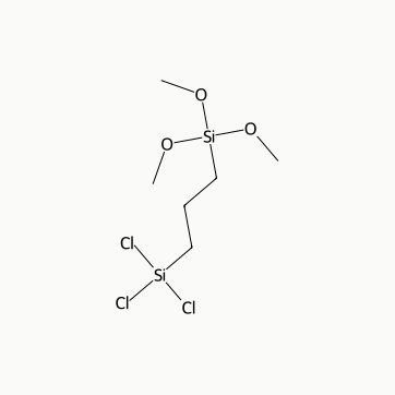 CO[Si](CCC[Si](Cl)(Cl)Cl)(OC)OC